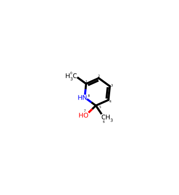 CC1=CC=CC(C)(O)N1